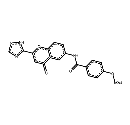 CCCCCCCCOc1ccc(C(=O)Nc2ccc3oc(-c4nnn[nH]4)cc(=O)c3c2)cc1